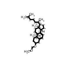 COCOC1CC[C@@]2(C)C(=CC=C3[C@@H]4CC[C@H]([C@H](C)CCCC(C)C)[C@@]4(C)CC[C@@H]32)C1